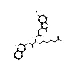 COc1ccc2[nH]c(C)c(CC(=O)N[C@@H](CCCCCC(C)=O)C(=O)Nc3cnc4ccccc4c3)c2c1